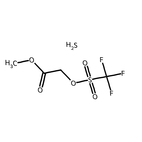 COC(=O)COS(=O)(=O)C(F)(F)F.S